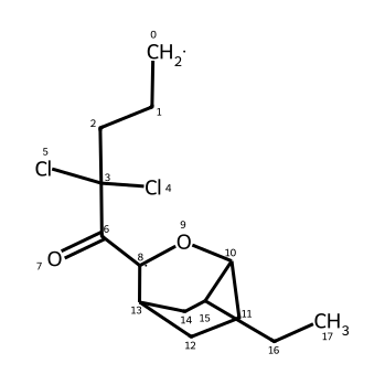 [CH2]CCC(Cl)(Cl)C(=O)[C]1OC2CCC1CC2CC